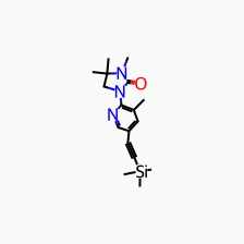 Cc1cc(C#C[Si](C)(C)C)cnc1N1CC(C)(C)N(C)C1=O